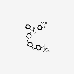 CS(=O)(=O)Nc1ccc(Oc2ccc(CN3CCC(N(C(=O)Nc4ccc(Cl)c(C(=O)O)c4)c4ccccc4)CC3)cn2)cc1